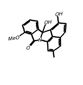 COc1cccc2c1C(=O)N1c3cc(C)cc4ccc(O)c(c34)C21O